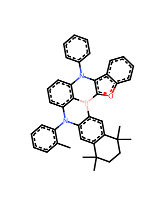 Cc1ccccc1N1c2cc3c(cc2B2c4oc5ccccc5c4N(c4ccccc4)c4cccc1c42)C(C)(C)CCC3(C)C